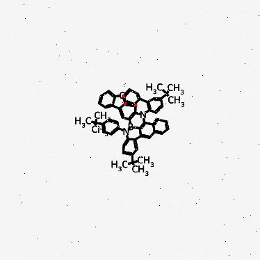 CC(C)(C)c1ccc(N2B3c4cc5c(cc4N(c4ccc(C(C)(C)C)cc4-c4ccccc4)c4c3c(cc3ccccc43)-c3cc(C(C)(C)C)ccc32)oc2ccccc25)cc1